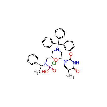 Cc1cn([C@H]2CN(C(c3ccccc3)(c3ccccc3)c3ccccc3)C[C@@H](CN([C@@H](C)c3ccccc3)P(=O)(O)Cl)O2)c(=O)[nH]c1=O